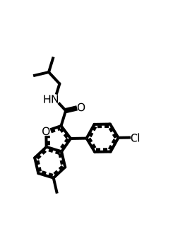 Cc1ccc2oc(C(=O)NCC(C)C)c(-c3ccc(Cl)cc3)c2c1